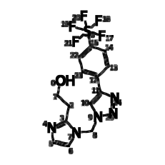 OCCc1nccn1Cn1cc(-c2ccc(S(F)(F)(F)(F)F)cc2)nn1